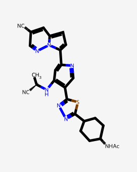 CC(=O)NC1CCC(c2nnc(-c3cnc(-c4ccc5cc(C#N)cnn45)cc3N[C@H](C)C#N)s2)CC1